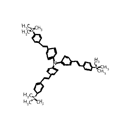 CS(C)(C)c1ccc(/C=C/c2ccc(N(c3ccc(/C=C/C4=CCC(S(C)(C)C)C=C4)cc3)c3ccc(/C=C/c4ccc(S(C)(C)C)cc4)cc3)cc2)cc1